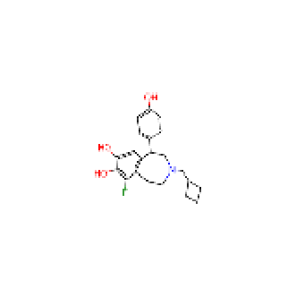 Oc1ccc(C2CN(CC3CCC3)CCc3c2cc(O)c(O)c3F)cc1